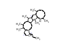 C=C/C=C/n1ccc2c(cc(C)c(C)c1/C=C\C)C(C)/C(=C/c1c(C)ccccc(C)[nH]c1NC)C2